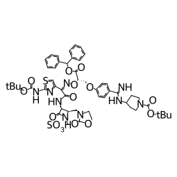 CC(C)(C)OC(=O)Nc1nc(/C(=N/O[C@@H](COc2ccc(C(=N)NC3CCN(C(=O)OC(C)(C)C)CC3)cc2)C(=O)OC(c2ccccc2)c2ccccc2)C(=O)N[C@@H]2C(=O)N(S(=O)(=O)O)[C@@H]2CN2CCOC2=O)cs1